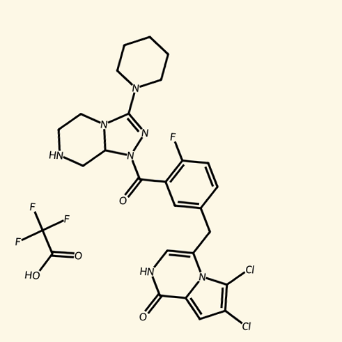 O=C(O)C(F)(F)F.O=C(c1cc(Cc2c[nH]c(=O)c3cc(Cl)c(Cl)n23)ccc1F)N1N=C(N2CCCCC2)N2CCNCC21